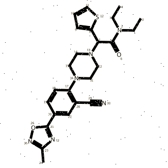 CCN(CC)C(=O)C(c1cccs1)N1CCN(c2ccc(-c3nc(C)no3)cc2C#N)CC1